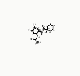 CC(C)(C)C(=O)Sc1cc(F)c(F)cc1NC(=O)C1(C)CCCCC1